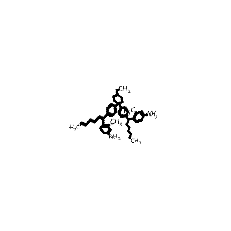 CCCCCCC(c1ccc(C2(c3ccc(C(CCCCCC)c4ccc(N)cc4C)cc3)CCC(CC)CC2)cc1)c1ccc(N)cc1C